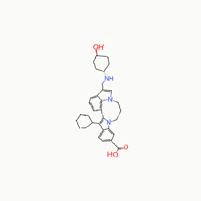 O=C(O)c1ccc2c(C3CCCCC3)c3n(c2c1)CCCn1cc(CN[C@H]2CC[C@H](O)CC2)c2cccc-3c21